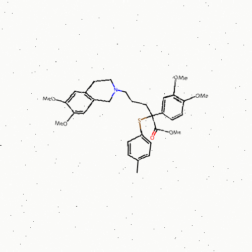 COC(=O)C(CCCN1CCc2cc(OC)c(OC)cc2C1)(Sc1ccc(C)cc1)c1ccc(OC)c(OC)c1